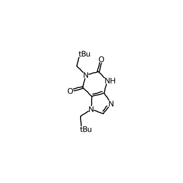 CC(C)(C)Cn1c(=O)[nH]c2ncn(CC(C)(C)C)c2c1=O